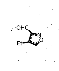 CCc1conc1[C]=O